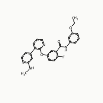 CCOc1cccc(NC(=O)c2cc(Oc3ncccc3-c3ccnc(NC)c3)ccc2F)c1